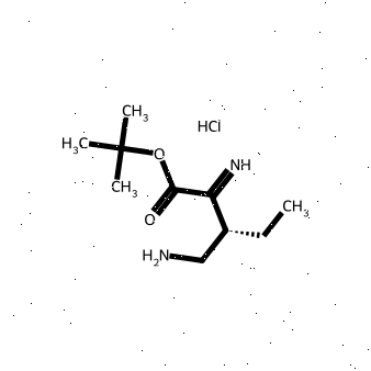 CC[C@H](CN)C(=N)C(=O)OC(C)(C)C.Cl